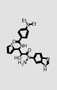 CCN(CC)c1ccc(C(=O)NC(c2cccs2)C(O)C(=O)N(N)c2ccc3nc[nH]c3c2)cc1